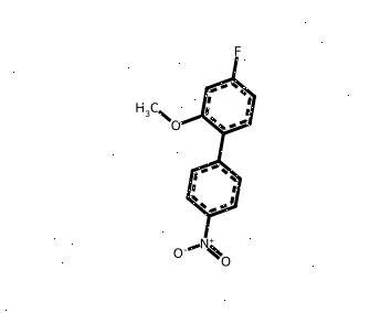 COc1cc(F)ccc1-c1ccc([N+](=O)[O-])cc1